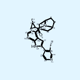 O=C(C1C[C@H]1F)N1C2CCC1CN(c1ncnc3[nH]c(-c4ccncc4F)cc13)C2